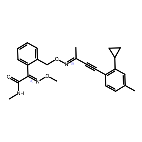 CNC(=O)/C(=N/OC)c1ccccc1CO/N=C(\C)C#Cc1ccc(C)cc1C1CC1